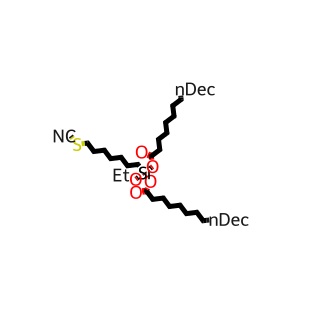 CCCCCCCCCCCCCCCCCC(=O)O[Si](CCCCCCCSC#N)(OCC)OC(=O)CCCCCCCCCCCCCCCCC